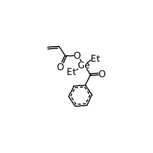 C=CC(=O)[O][Ge]([CH2]C)([CH2]C)[C](=O)c1ccccc1